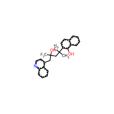 CC(C)(CC(O)(Cc1ccnc2ccccc12)C(F)(F)F)c1ccc2ccccc2c1O